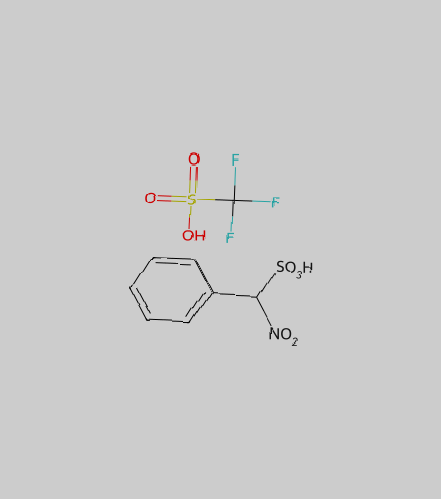 O=S(=O)(O)C(F)(F)F.O=[N+]([O-])C(c1ccccc1)S(=O)(=O)O